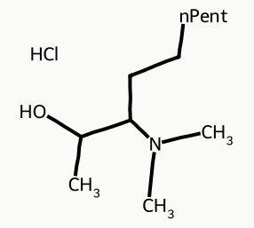 CCCCCCCC(C(C)O)N(C)C.Cl